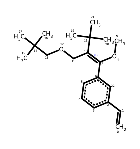 C=Cc1cccc(/C(OC)=C(\COCC(C)(C)C)C(C)(C)C)c1